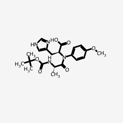 COc1ccc(N(C(=O)[C@H](C)NC(=O)OC(C)(C)C)[C@@H](Cc2c[nH]cn2)C(=O)O)cc1